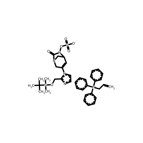 C=CC[P+](c1ccccc1)(c1ccccc1)c1ccccc1.CC(C)(C)[Si](C)(C)OCc1nccn1C1=CC2CN(C1)C(=O)N2OS(=O)(=O)[O-]